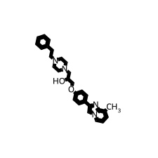 Cc1cccn2cc(-c3ccc(OCC(O)CN4CCN(CCc5ccccc5)CC4)cc3)nc12